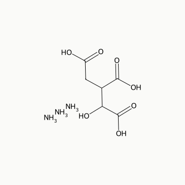 N.N.N.O=C(O)CC(C(=O)O)C(O)C(=O)O